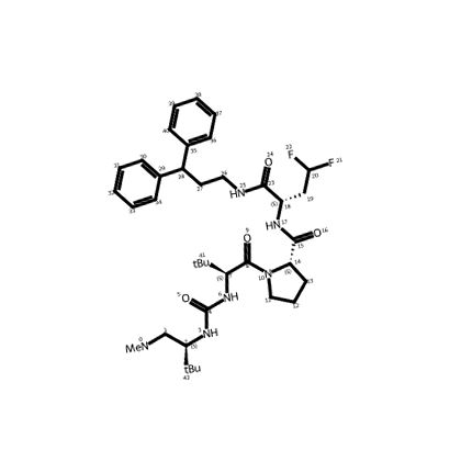 CNC[C@@H](NC(=O)N[C@H](C(=O)N1CCC[C@H]1C(=O)N[C@@H](CC(F)F)C(=O)NCCC(c1ccccc1)c1ccccc1)C(C)(C)C)C(C)(C)C